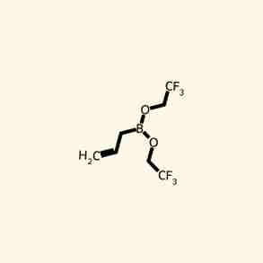 C=CCB(OCC(F)(F)F)OCC(F)(F)F